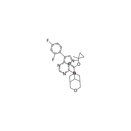 Cn1cc(-c2ccc(F)cc2F)c2ncnc(OC3C4COCC3CN(C(=O)OC3(C)CC3)C4)c21